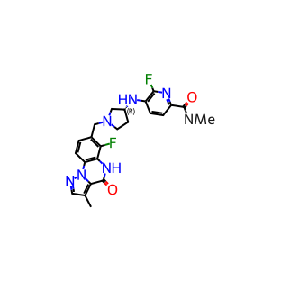 CNC(=O)c1ccc(N[C@@H]2CCN(Cc3ccc4c([nH]c(=O)c5c(C)cnn54)c3F)C2)c(F)n1